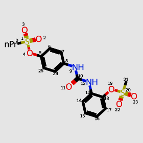 CCCS(=O)(=O)Oc1ccc(NC(=O)Nc2ccccc2OS(C)(=O)=O)cc1